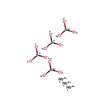 [Nb+4].[Nb+4].[Nb+4].[O-]B([O-])[O-].[O-]B([O-])[O-].[O-]B([O-])[O-].[O-]B([O-])[O-]